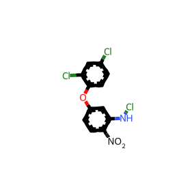 O=[N+]([O-])c1ccc(Oc2ccc(Cl)cc2Cl)cc1NCl